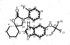 O=C1O[C@@]2(CCCC[C@H]2c2nc3ccc(OC(F)(F)F)cc3[nH]2)CN1c1ccccc1F